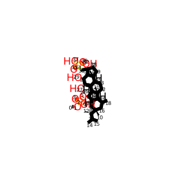 COP(=O)(O)O[C@@H]1[C@H]2C[C@@](C)([C@@H](C)C(C)C)CC(C)[C@@H]2[C@@]2(C)CC[C@H]3[C@@H]([C@@H](O)[C@@H](O)C4[C@](O)(CS(=O)(=O)O)CC[C@@]43C)[C@H]12